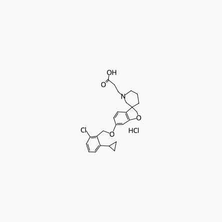 Cl.O=C(O)CCN1CCCC2(COc3cc(OCc4c(Cl)cccc4C4CC4)ccc32)C1